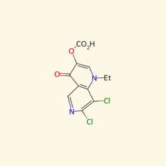 CCn1cc(OC(=O)O)c(=O)c2cnc(Cl)c(Cl)c21